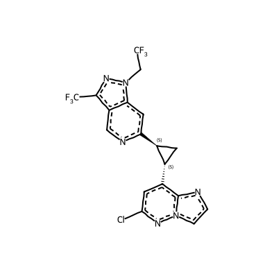 FC(F)(F)Cn1nc(C(F)(F)F)c2cnc([C@H]3C[C@@H]3c3cc(Cl)nn4ccnc34)cc21